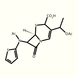 CC(=O)OC(C)C1=CN2C(=O)C(N(C(C)=O)c3cccs3)[C@H]2SC1C(=O)O